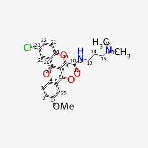 COc1cccc(C(=O)c2c(C(=O)NCCCN(C)C)oc3ccc(Cl)cc3c2=O)c1